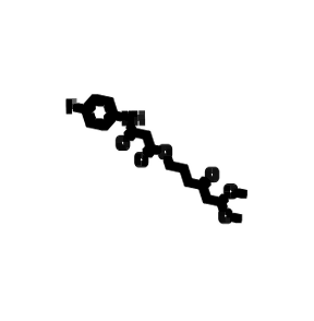 COC(CC(=O)CCCOC(=O)CC(=O)Nc1ccc(F)cc1)OC